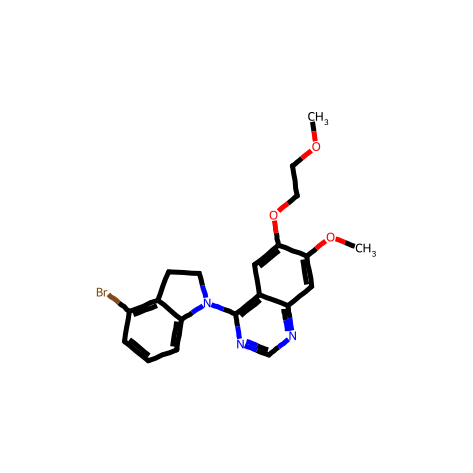 COCCOc1cc2c(N3CCc4c(Br)cccc43)ncnc2cc1OC